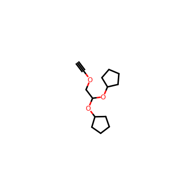 C#COCC(OC1CCCC1)OC1CCCC1